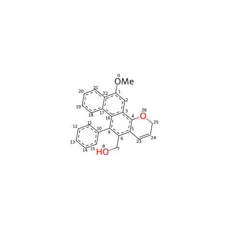 COc1cc2c3c(c(CO)c(-c4ccccc4)c2c2ccccc12)C=CCO3